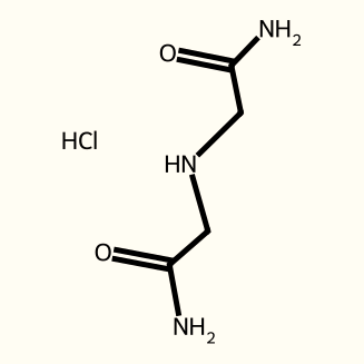 Cl.NC(=O)CNCC(N)=O